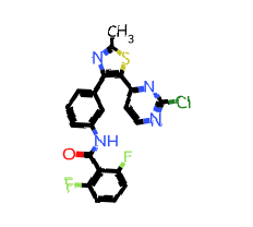 Cc1nc(-c2cccc(NC(=O)c3c(F)cccc3F)c2)c(-c2ccnc(Cl)n2)s1